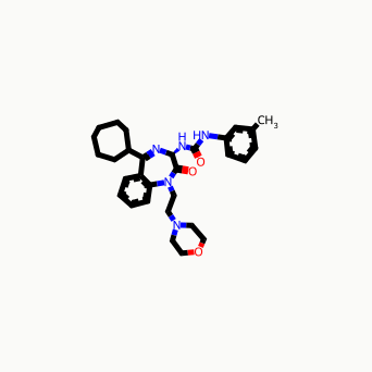 Cc1cccc(NC(=O)N[C@@H]2N=C(C3CCCCCC3)c3ccccc3N(CCN3CCOCC3)C2=O)c1